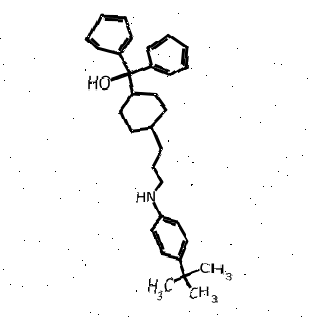 CC(C)(C)c1ccc(NCCCC2CCC(C(O)(c3ccccc3)c3ccccc3)CC2)cc1